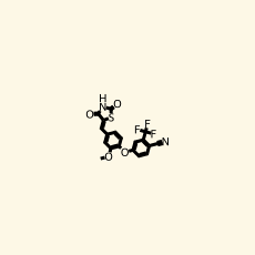 COc1cc(/C=C2\SC(=O)NC2=O)ccc1Oc1ccc(C#N)c(C(F)(F)F)c1